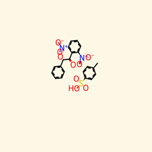 Cc1ccc(S(=O)(=O)O)cc1.O=C(C(=O)c1c([N+](=O)[O-])cccc1[N+](=O)[O-])c1ccccc1